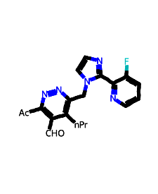 CCCc1c(Cn2ccnc2-c2ncccc2F)nnc(C(C)=O)c1C=O